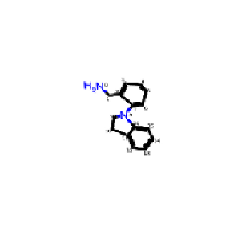 NCc1ccccc1N1CCc2ccccc21